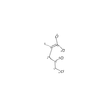 CC(CC(Cl)CCl)=C(Cl)Cl